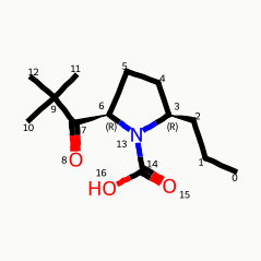 CCC[C@@H]1CC[C@H](C(=O)C(C)(C)C)N1C(=O)O